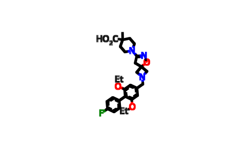 CCOc1cc(CN2CC3(CC(N4CCC(C)(C(=O)O)CC4)=NO3)C2)cc(OCC)c1-c1ccc(F)cc1